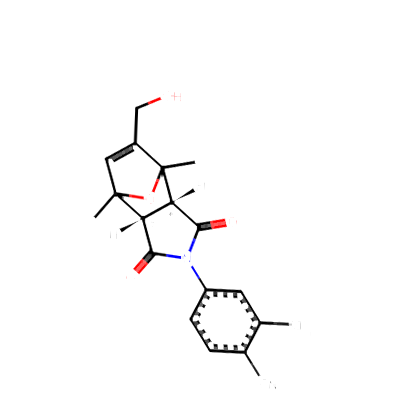 CC12C=C(CO)C(C)(O1)[C@@H]1C(=O)N(c3ccc(C#N)c(C(F)(F)F)c3)C(=O)[C@@H]12